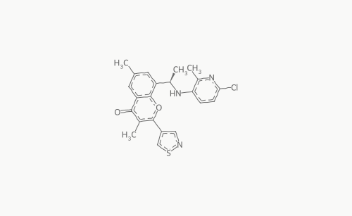 Cc1cc([C@@H](C)Nc2ccc(Cl)nc2C)c2oc(-c3cnsc3)c(C)c(=O)c2c1